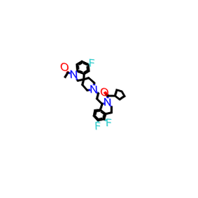 CC(=O)N1CC2(CCN(CCC3c4ccc(F)c(F)c4CCN3C(=O)C3CCCC3)CC2)c2cc(F)ccc21